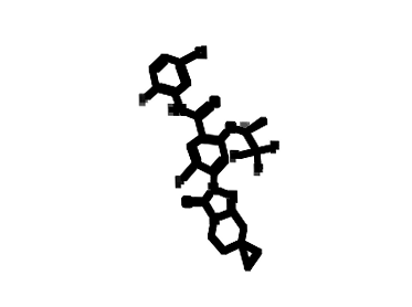 C[C@H](Oc1cc(-n2nc3n(c2=O)CCC2(CC2)C3)c(F)cc1C(=O)Nc1cc(Cl)ccc1F)C(F)(F)F